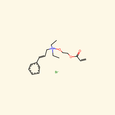 C=CC(=O)OCCO[N+](CC)(CC)CC=Cc1ccccc1.[Br-]